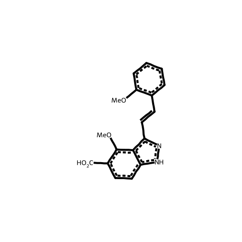 COc1ccccc1C=Cc1n[nH]c2ccc(C(=O)O)c(OC)c12